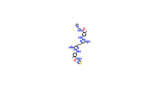 CNc1cc(CCc2cc(NC)nc(Nc3ccc(C)c(C(=O)Nc4cscn4)c3)n2)nc(Nc2ccc(C)c(C(=O)NCCN3CCC3)c2)n1